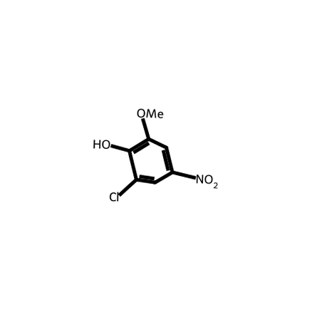 COc1cc([N+](=O)[O-])cc(Cl)c1O